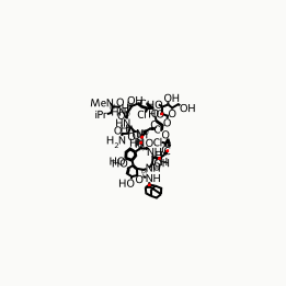 CN[C@H](CC(C)C)C(=O)N[C@H]1C(=O)N[C@@H](CC(N)=O)C(=O)N[C@H]2C(=O)N[C@H]3C(=O)N[C@@H](C(=O)N[C@H](C(=O)NC4C5CC6CC(C5)CC4C6)C4=C(C(O)=CC(O)C4)c4cc3ccc4O)[C@H](O)c3ccc(c(Cl)c3)Oc3cc2cc(c3OC2OC(CO)C(O)C(O)C2O)Oc2ccc(cc2Cl)C1(O)I